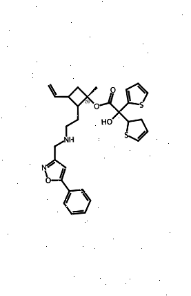 C=CC1C[C@](C)(OC(=O)C(O)(c2cccs2)C2CC=CS2)C1CCNCc1cc(-c2ccccc2)on1